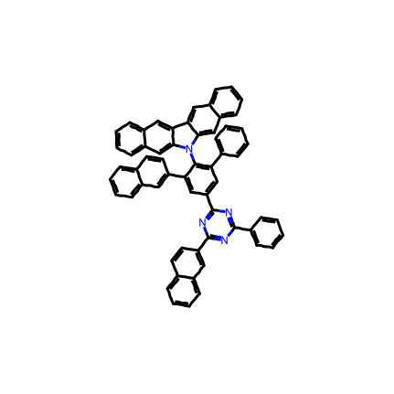 c1ccc(-c2nc(-c3cc(-c4ccccc4)c(-n4c5cc6ccccc6cc5c5cc6ccccc6cc54)c(-c4ccc5ccccc5c4)c3)nc(-c3ccc4ccccc4c3)n2)cc1